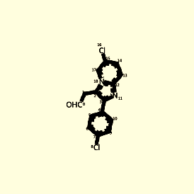 O=CCc1c(-c2ccc(Cl)cc2)nc2ccc(Cl)cn12